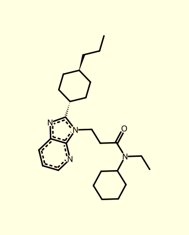 CCC[C@H]1CC[C@H](c2nc3cccnc3n2CCC(=O)N(CC)C2CCCCC2)CC1